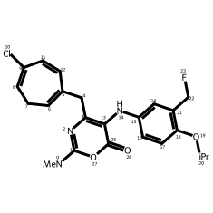 CNc1nc(CC2=CCC=C(Cl)C=C2)c(Nc2ccc(OC(C)C)c(CF)c2)c(=O)o1